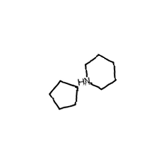 C1CCCC1.C1CCNCC1